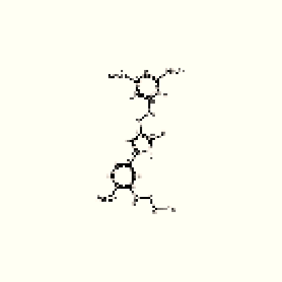 COc1ccc(-c2nc(CSc3nc(NC(C)=O)cc(NC(C)=O)n3)c(C)s2)cc1OCCF